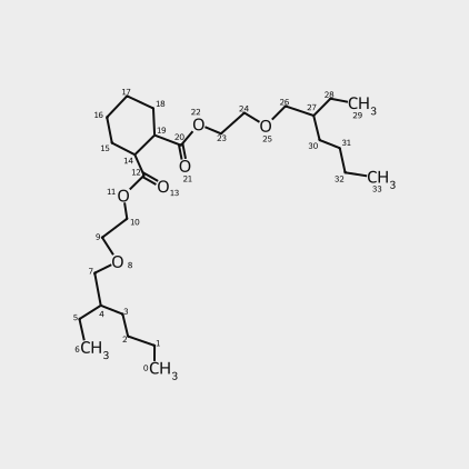 CCCCC(CC)COCCOC(=O)C1CCCCC1C(=O)OCCOCC(CC)CCCC